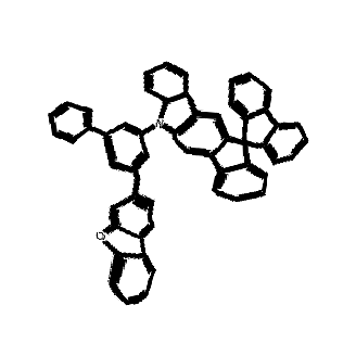 C1=CC2c3cc4c(cc3N(c3cc(-c5ccccc5)cc(-c5ccc6c(c5)oc5ccccc56)c3)C2C=C1)-c1ccccc1C41c2ccccc2-c2ccccc21